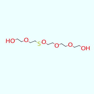 OCCOCCOCCOSCCOCCO